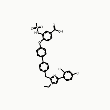 CCn1cc(-c2ccc(Cl)cc2Cl)nc1Cc1ccc(-c2ccc(Oc3ccc(C(=O)O)cc3NS(C)(=O)=O)cc2)cc1